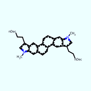 CCCCCCCCCCCCc1cn(C)c2cc3ccc4c5cc6c(CCCCCCCCCCCC)cn(C)c6cc5ccc4c3cc12